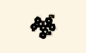 CC1C(c2ccccc2C#N)C=C(n2c3ccccc3c3ccncc32)NC1n1c2ccccc2c2cc(C#N)ccc21